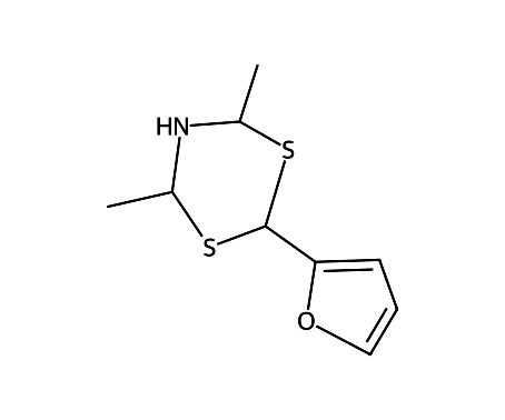 CC1NC(C)SC(c2ccco2)S1